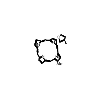 C1=Cc2cc3ccc(cc4nc(cc5ccc(cc1n2)[nH]5)C=C4)[nH]3.Cc1ccoc1.[Mn]